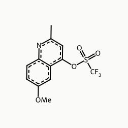 COc1ccc2nc(C)cc(OS(=O)(=O)C(F)(F)F)c2c1